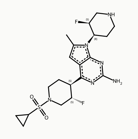 Cc1cc2c([C@@H]3CCN(S(=O)(=O)C4CC4)C[C@H]3F)nc(N)nc2n1[C@@H]1CCNC[C@@H]1F